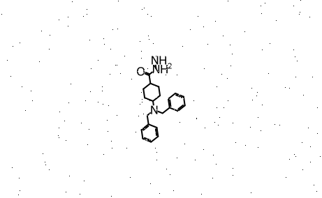 NNC(=O)C1CCC(N(Cc2ccccc2)Cc2ccccc2)CC1